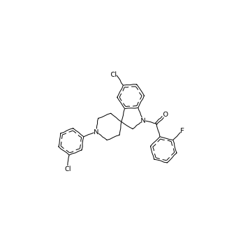 O=C(c1ccccc1F)N1CC2(CCN(c3cccc(Cl)c3)CC2)c2cc(Cl)ccc21